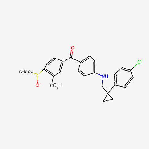 CCCCCC[S+]([O-])c1ccc(C(=O)c2ccc(NCC3(c4ccc(Cl)cc4)CC3)cc2)cc1C(=O)O